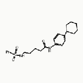 CC(C)S(=O)(=O)NCCCCC(=O)Nc1ccc(C2CCCCC2)cc1